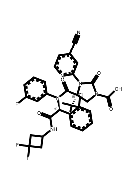 CC(C)(C)[C@@]1(C(=O)N(c2cccc(F)c2)[C@H](C(=O)NC2CC(F)(F)C2)c2ccccc2Cl)CN(C(=O)O)C(=O)N1c1cc(C#N)ccn1